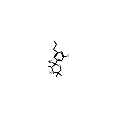 CCCc1cc(Cl)cc(C2(O)OCC(C)(C)NC2C)c1